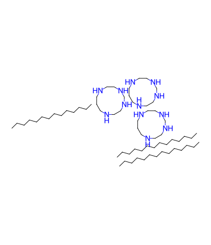 C1CNCCNCNCCNC1.C1CNCCNCNCCNC1.C1CNCCNCNCCNC1.CCCCCCCCCCCCCC.CCCCCCCCCCCCCC.CCCCCCCCCCCCCC